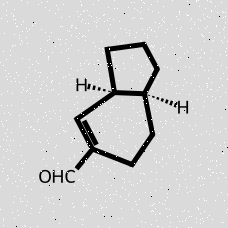 O=CC1=C[C@H]2CCC[C@H]2CC1